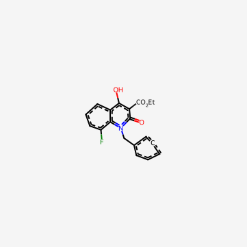 CCOC(=O)c1c(O)c2cccc(F)c2n(Cc2ccccc2)c1=O